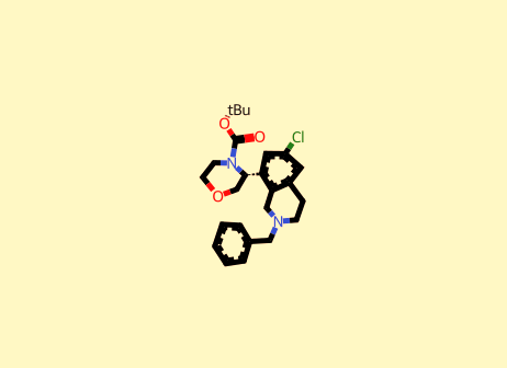 CC(C)(C)OC(=O)N1CCOC[C@H]1c1cc(Cl)cc2c1CN(Cc1ccccc1)CC2